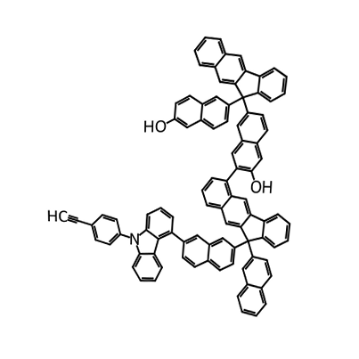 C#Cc1ccc(-n2c3ccccc3c3c(-c4ccc5ccc(C6(c7ccc8ccccc8c7)c7ccccc7-c7cc8c(-c9cc%10cc(C%11(c%12ccc%13cc(O)ccc%13c%12)c%12ccccc%12-c%12cc%13ccccc%13cc%12%11)ccc%10cc9O)cccc8cc76)cc5c4)cccc32)cc1